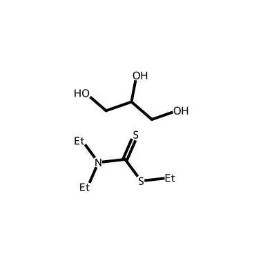 CCSC(=S)N(CC)CC.OCC(O)CO